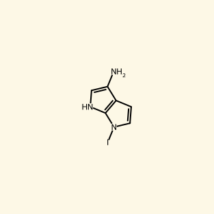 Nc1c[nH]c2c1ccn2I